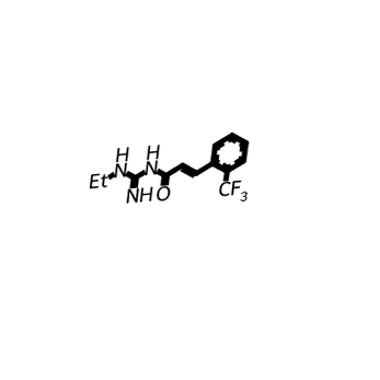 CCNC(=N)NC(=O)/C=C/c1ccccc1C(F)(F)F